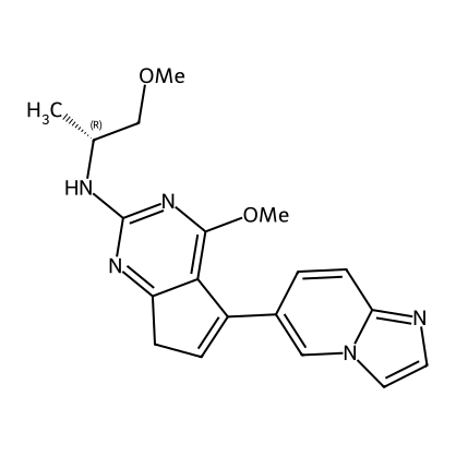 COC[C@@H](C)Nc1nc2c(c(OC)n1)C(c1ccc3nccn3c1)=CC2